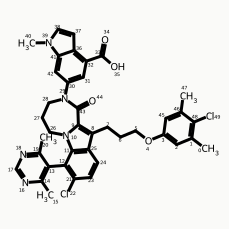 Cc1cc(OCCCc2c3n(c4c(-c5c(C)ncnc5C)c(Cl)ccc24)CCCN(c2cc(C(=O)O)c4ccn(C)c4c2)C3=O)cc(C)c1Cl